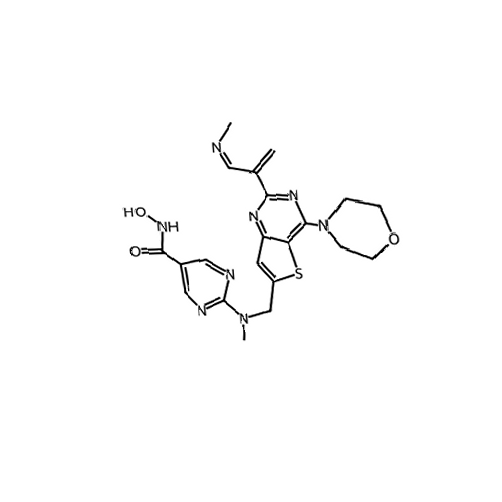 C=C(/C=N\C)c1nc(N2CCOCC2)c2sc(CN(C)c3ncc(C(=O)NO)cn3)cc2n1